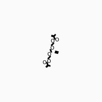 C=C.C=C.C=C(C)C(=O)OCCOCCOCCOC(=O)C(=C)C